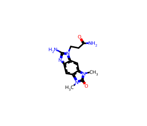 Cn1c(=O)n(C)c2cc3c(cc21)nc(N)n3CCC(N)=O